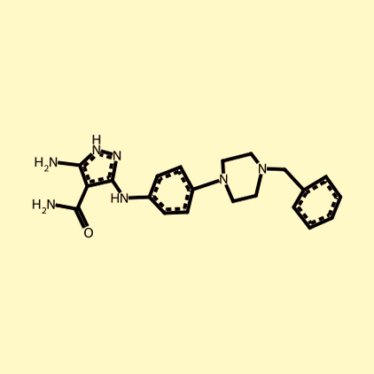 NC(=O)c1c(Nc2ccc(N3CCN(Cc4ccccc4)CC3)cc2)n[nH]c1N